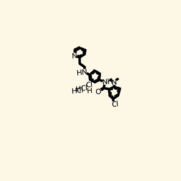 CN(C)c1ccc(Cl)cc1C(=O)Nc1ccc(NCCc2ccccn2)cc1.Cl.Cl.Cl